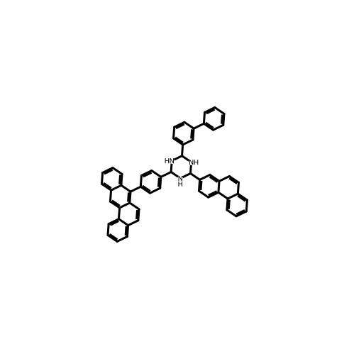 c1ccc(-c2cccc(C3NC(c4ccc(-c5c6ccccc6cc6c5ccc5ccccc56)cc4)NC(c4ccc5c(ccc6ccccc65)c4)N3)c2)cc1